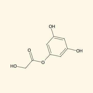 O=C(CO)Oc1cc(O)cc(O)c1